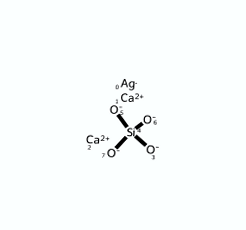 [Ag].[Ca+2].[Ca+2].[O-][Si]([O-])([O-])[O-]